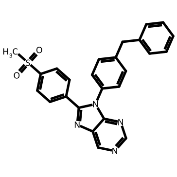 CS(=O)(=O)c1ccc(-c2nc3cncnc3n2-c2ccc(Cc3ccccc3)cc2)cc1